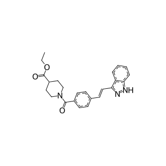 CCOC(=O)C1CCN(C(=O)c2ccc(/C=C/c3n[nH]c4ccccc34)cc2)CC1